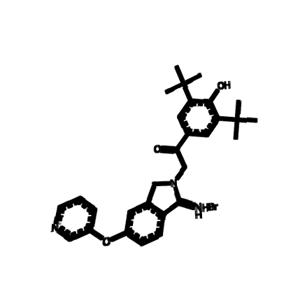 Br.CC(C)(C)c1cc(C(=O)CN2Cc3cc(Oc4cccnc4)ccc3C2=N)cc(C(C)(C)C)c1O